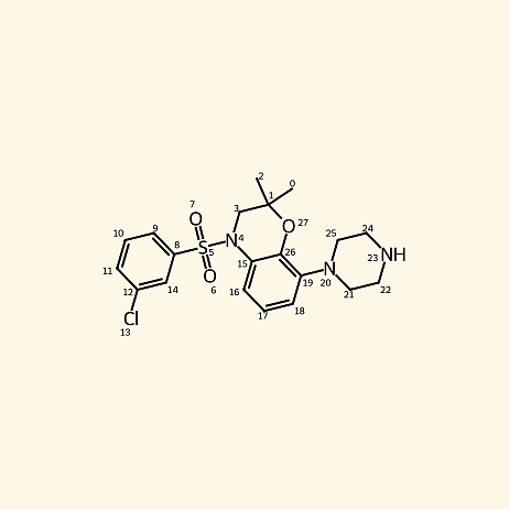 CC1(C)CN(S(=O)(=O)c2cccc(Cl)c2)c2cccc(N3CCNCC3)c2O1